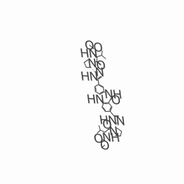 COC(=O)N[C@H](C(=O)N1CCC[C@H]1c1ncc(-c2ccc3c(c2)NC(=O)c2cc(-c4cnc([C@@H]5CCCN5C(=O)[C@@H](NC(=O)OC)C(C)C)[nH]4)ccc2N3)[nH]1)C(C)C